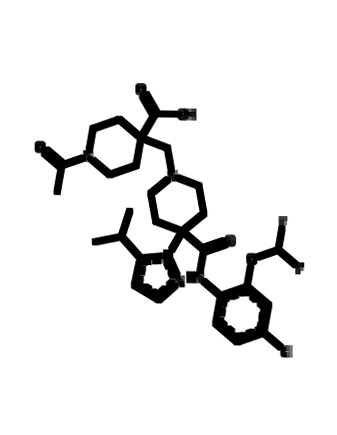 CC(=O)N1CCC(CN2CCC(C(=O)Nc3ccc(Cl)cc3OC(F)F)(n3nccc3C(C)C)CC2)(C(=O)O)CC1